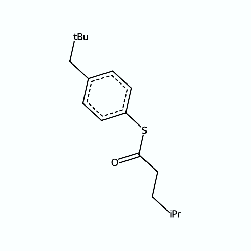 CC(C)CCC(=O)Sc1ccc(CC(C)(C)C)cc1